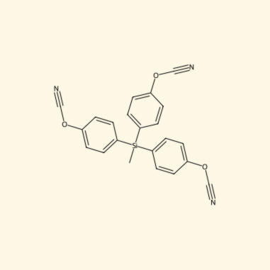 C[Si](c1ccc(OC#N)cc1)(c1ccc(OC#N)cc1)c1ccc(OC#N)cc1